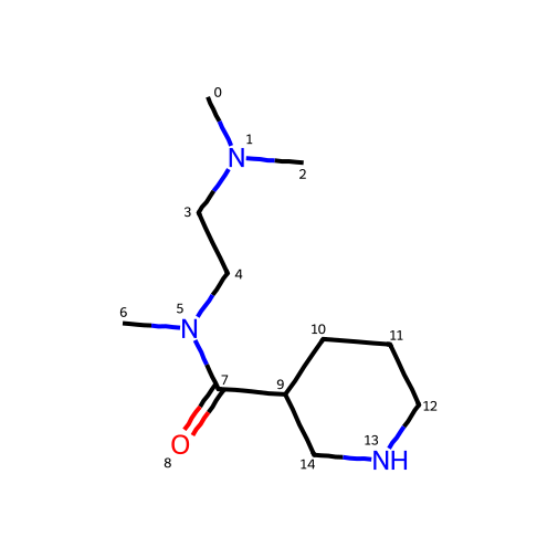 CN(C)CCN(C)C(=O)C1CCCNC1